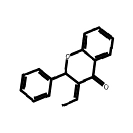 CC=C1C(=O)c2ccccc2OC1c1ccccc1